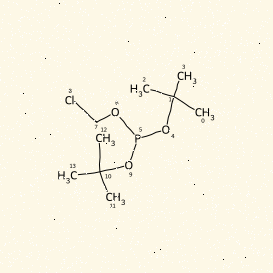 CC(C)(C)OP(OCCl)OC(C)(C)C